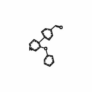 O=Cc1ccc(-c2ccncc2Oc2ccccc2)cc1